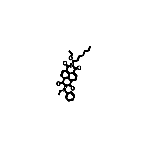 CCCCCCC(OCC)N1C(=O)c2ccc3c4c(ccc(c24)C1=O)C(=O)N(N(CC)c1ccccc1)C3=O